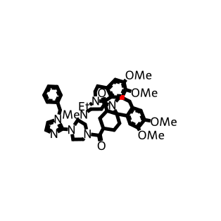 CCN1CCc2cc(OC)c(OC)cc2C1C1CC(C(=O)N2CCN(c3nccn3Cc3ccccc3)CC2)CCC12c1cc(OC)c(OC)cc1CCN2C(=O)CCNC